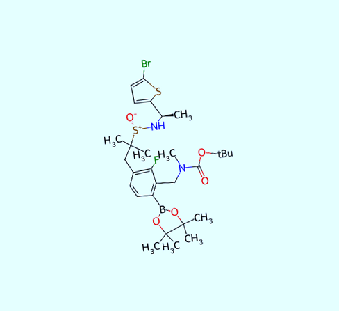 C[C@@H](N[S@@+]([O-])C(C)(C)Cc1ccc(B2OC(C)(C)C(C)(C)O2)c(CN(C)C(=O)OC(C)(C)C)c1F)c1ccc(Br)s1